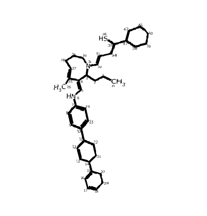 CCCC1C(=C/Nc2ccc(C3C=CC(C4=CC=CCC4)CC3)cc2)/C(C)=C/CCCN1/C=C/CC(S)C1CCCCC1